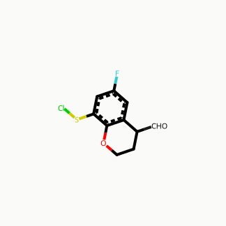 O=CC1CCOc2c(SCl)cc(F)cc21